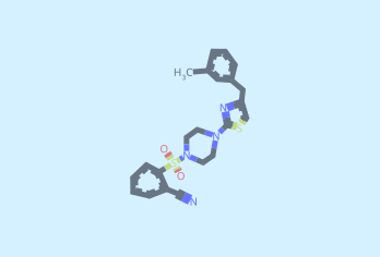 Cc1cccc(Cc2csc(N3CCN(S(=O)(=O)c4ccccc4C#N)CC3)n2)c1